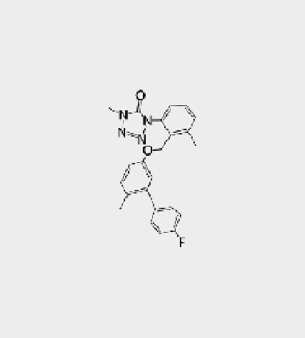 Cc1ccc(OCc2c(C)cccc2-n2nnn(C)c2=O)cc1-c1ccc(F)cc1